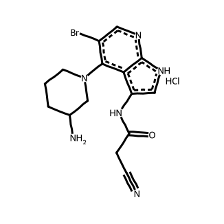 Cl.N#CCC(=O)Nc1c[nH]c2ncc(Br)c(N3CCCC(N)C3)c12